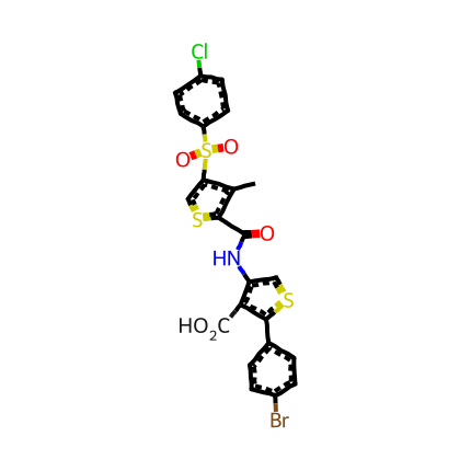 Cc1c(S(=O)(=O)c2ccc(Cl)cc2)csc1C(=O)Nc1csc(-c2ccc(Br)cc2)c1C(=O)O